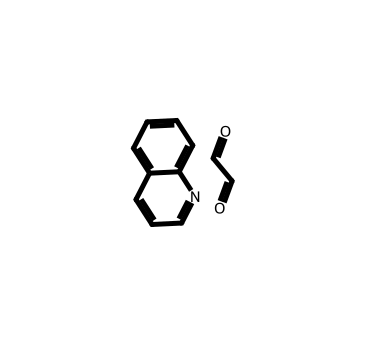 O=CC=O.c1ccc2ncccc2c1